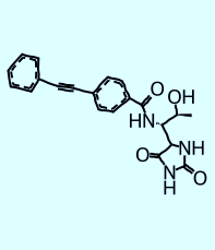 C[C@H](O)[C@@H](NC(=O)c1ccc(C#Cc2ccccc2)cc1)C1NC(=O)NC1=O